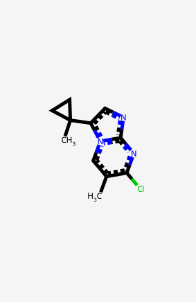 Cc1cn2c(C3(C)CC3)cnc2nc1Cl